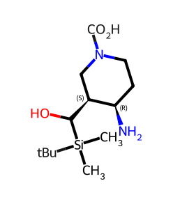 CC(C)(C)[Si](C)(C)C(O)[C@H]1CN(C(=O)O)CC[C@H]1N